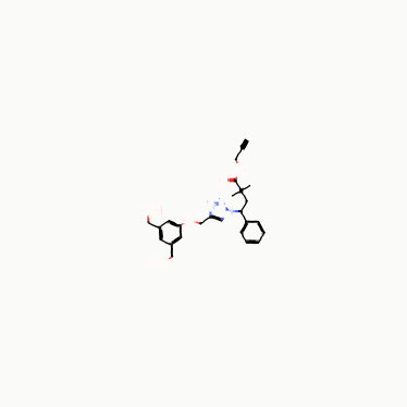 C#CCOC(=O)C(C)(C)CC(c1ccccc1)n1cc(COc2cc(CO)cc(CO)c2)nn1